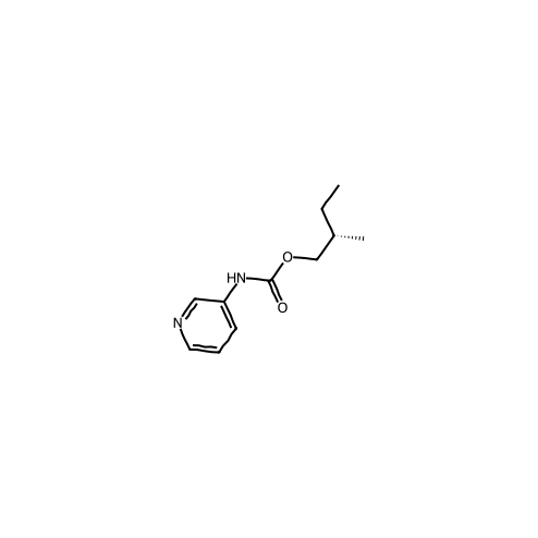 CC[C@H](C)COC(=O)Nc1cccnc1